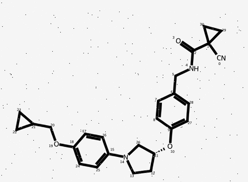 N#CC1(C(=O)NCc2ccc(O[C@@H]3CCN(c4ccc(OCC5CC5)cc4)C3)cc2)CC1